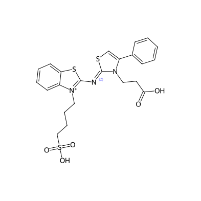 O=C(O)CCn1c(-c2ccccc2)cs/c1=N\c1sc2ccccc2[n+]1CCCCS(=O)(=O)O